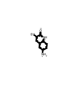 CCc1cc2cc(N)ccc2[nH]c1=O